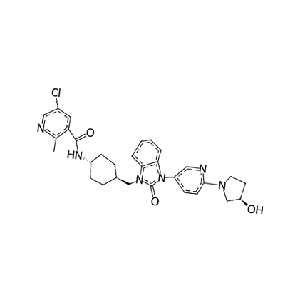 Cc1ncc(Cl)cc1C(=O)N[C@H]1CC[C@H](Cn2c(=O)n(-c3ccc(N4CC[C@@H](O)C4)nc3)c3ccccc32)CC1